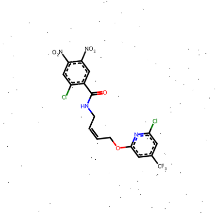 O=C(NC/C=C\COc1cc(C(F)(F)F)cc(Cl)n1)c1cc([N+](=O)[O-])c([N+](=O)[O-])cc1Cl